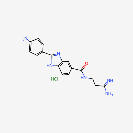 Cl.N=C(N)CCNC(=O)c1ccc2[nH]c(-c3ccc(N)cc3)nc2c1